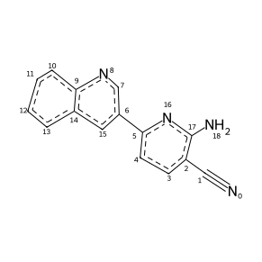 N#Cc1ccc(-c2cnc3ccccc3c2)nc1N